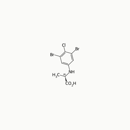 C[C@@H](Nc1cc(Br)c(Cl)c(Br)c1)C(=O)O